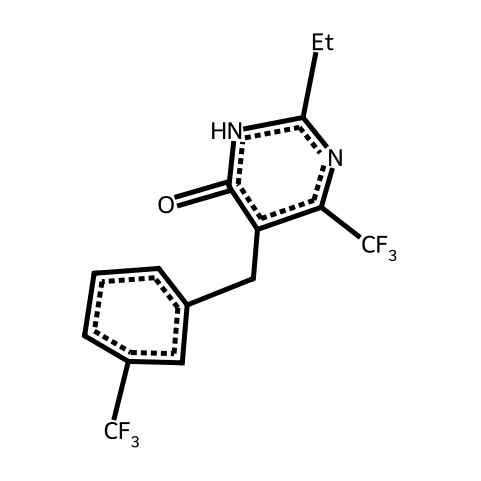 CCc1nc(C(F)(F)F)c(Cc2cccc(C(F)(F)F)c2)c(=O)[nH]1